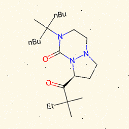 CCCCC(C)(CCCC)N1CCN2CC[C@@H](C(=O)C(C)(C)CC)N2C1=O